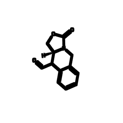 O=CC1c2ccccc2CN2C(=O)OC[C@H]12